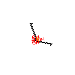 CC(C)CCCCCCCCCCC(C(=O)O)C(CCCCCCCCCCC(C)C)(C(=O)O)S(=O)(=O)O